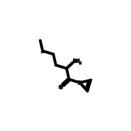 CSCCC(N)C(=O)N1C=C1